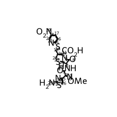 CON=C(C(=O)N[C@@H]1C(=O)N2C(C(=O)O)=C(CSc3ccc([N+](=O)[O-])cn3)CS[C@@H]12)c1csc(N)n1